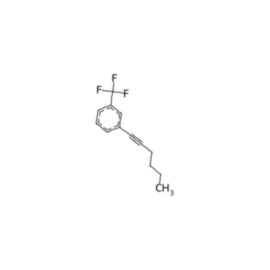 CCCCC#Cc1cccc(C(F)(F)F)c1